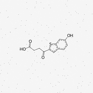 O=C(O)CCC(=O)c1cc2ccc(O)cc2s1